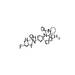 CC12CCCCN1C(=O)N(c1ccc(NC(=O)c3ncc(F)cc3F)cc1Cl)C2=O